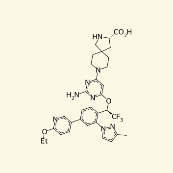 CCOc1ccc(-c2ccc([C@@H](Oc3cc(N4CCC5(CC4)CN[C@H](C(=O)O)C5)nc(N)n3)C(F)(F)F)c(-n3ccc(C)n3)c2)cn1